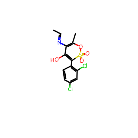 CC=NC1=C(C)OS(=O)(=O)C(c2ccc(Cl)cc2Cl)=C1O